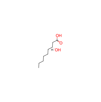 CCCCCC[C@@H](O)CC(=O)O